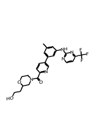 Cc1cc(Nc2nccc(C(F)(F)F)n2)cc(-c2ccc(C(=O)N3CCOC(CCO)C3)nc2)c1